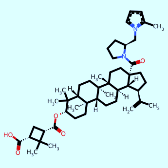 C=C(C)[C@@H]1CC[C@]2(C(=O)N3CCC[C@H]3Cn3cccc3C)CC[C@]3(C)[C@H](CC[C@@H]4[C@@]5(C)CC[C@H](OC(=O)[C@H]6C[C@@H](C(=O)O)C6(C)C)C(C)(C)[C@@H]5CC[C@]43C)[C@@H]12